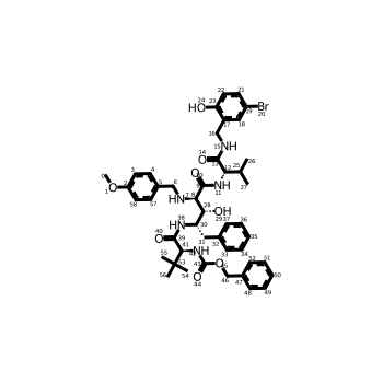 COc1ccc(CN[C@@H](C(=O)N[C@H](C(=O)NCc2cc(Br)ccc2O)C(C)C)[C@H](O)[C@H](Cc2ccccc2)NC(=O)[C@@H](NC(=O)OCc2ccccc2)C(C)(C)C)cc1